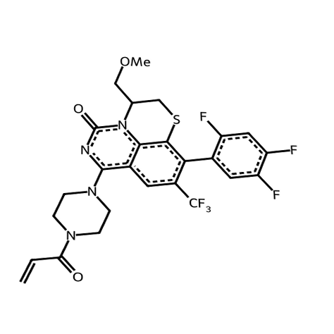 C=CC(=O)N1CCN(c2nc(=O)n3c4c(c(-c5cc(F)c(F)cc5F)c(C(F)(F)F)cc24)SCC3COC)CC1